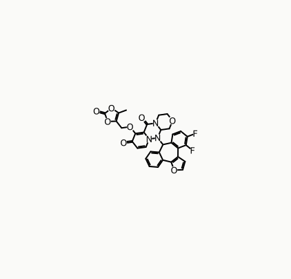 Cc1oc(=O)oc1COc1c2n(ccc1=O)N(C1c3ccccc3-c3occc3-c3c1ccc(F)c3F)C1COCCN1C2=O